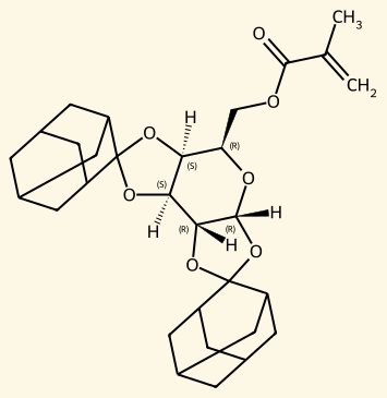 C=C(C)C(=O)OC[C@H]1O[C@@H]2OC3(O[C@@H]2[C@H]2OC4(O[C@H]21)C1CC2CC(C1)CC4C2)C1CC2CC(C1)CC3C2